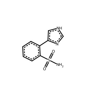 NS(=O)(=O)c1ccccc1-c1c[nH]cn1